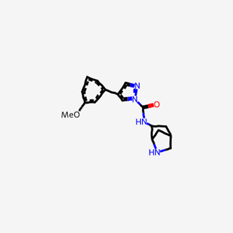 COc1cccc(-c2cnn(C(=O)NC3CC4CNC3C4)c2)c1